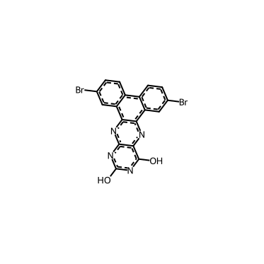 Oc1nc(O)c2nc3c4cc(Br)ccc4c4ccc(Br)cc4c3nc2n1